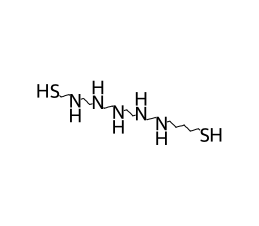 SCCCCCNCCNCCNCCNCCNCCS